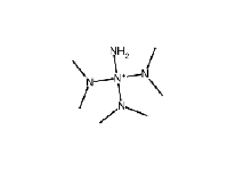 CN(C)[N+](N)(N(C)C)N(C)C